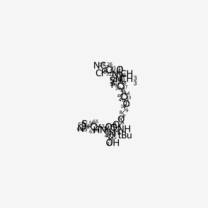 CC(C)(C)[C@H](NC(=O)COCCCCOc1ccc(-c2ccc(N3C(=S)N(c4ccc(C#N)c(Cl)c4)C(=O)C3(C)C)c(F)c2)cc1)C(=O)N1C[C@H](O)C[C@H]1C(=O)NCc1ccc(-c2cncs2)cc1